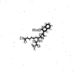 CCC(=O)CCCCCC(NC(=O)C(=O)N(C)C)c1ncc(-c2cc3ccccc3nc2OC)o1